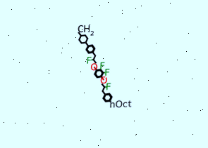 C=CC1CCC(c2ccc(CC(F)COc3ccc(OCC(F)Cc4ccc(CCCCCCCC)cc4)c(F)c3F)cc2)CC1